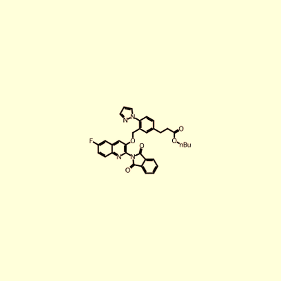 CCCCOC(=O)CCc1ccc(-n2cccn2)c(COc2cc3cc(F)ccc3nc2N2C(=O)c3ccccc3C2=O)c1